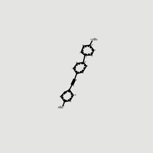 CCCCc1ccc(C#Cc2ccc(-c3ccc(CCCC)cc3)cc2)cc1